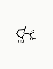 COC(=O)N1CCCCC1C.Cl